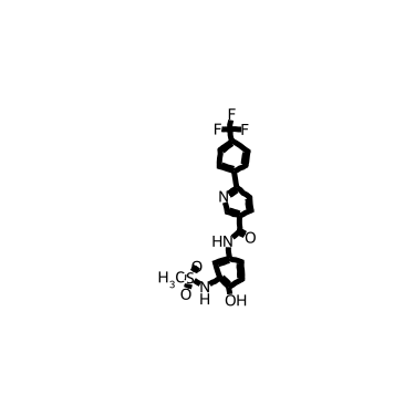 CS(=O)(=O)Nc1cc(NC(=O)c2ccc(-c3ccc(C(F)(F)F)cc3)nc2)ccc1O